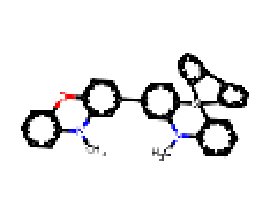 CN1c2ccccc2Oc2ccc(-c3ccc4c(c3)N(C)c3ccccc3[Si]43c4ccccc4-c4ccccc43)cc21